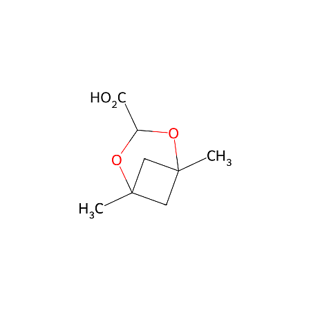 CC12CC(C)(C1)OC(C(=O)O)O2